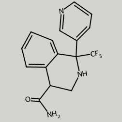 NC(=O)C1CNC(c2cccnc2)(C(F)(F)F)c2ccccc21